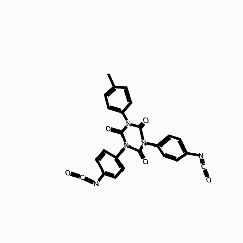 Cc1ccc(-n2c(=O)n(-c3ccc(N=C=O)cc3)c(=O)n(-c3ccc(N=C=O)cc3)c2=O)cc1